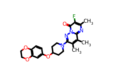 Cc1nc2c(C)c(C)c(N3CCC(Oc4ccc5c(c4)OCCO5)CC3)nn2c(=O)c1F